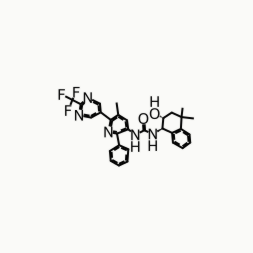 Cc1cc(NC(=O)N[C@@H]2c3ccccc3C(C)(C)C[C@H]2O)c(-c2ccccc2)nc1-c1cnc(C(F)(F)F)nc1